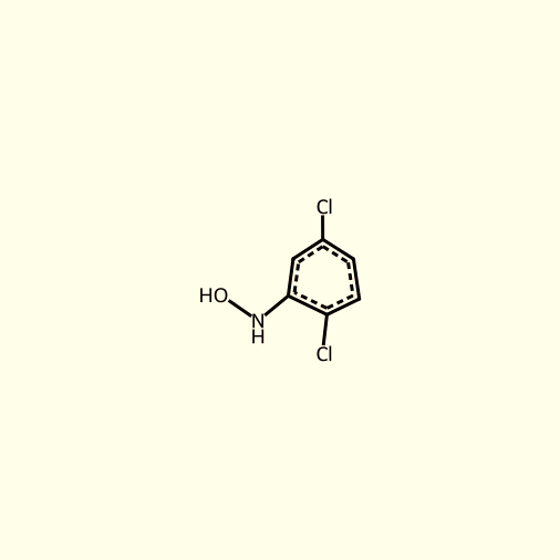 ONc1cc(Cl)ccc1Cl